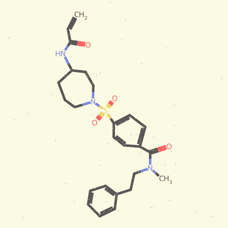 C=CC(=O)NC1CCCN(S(=O)(=O)c2ccc(C(=O)N(C)CCc3ccccc3)cc2)CC1